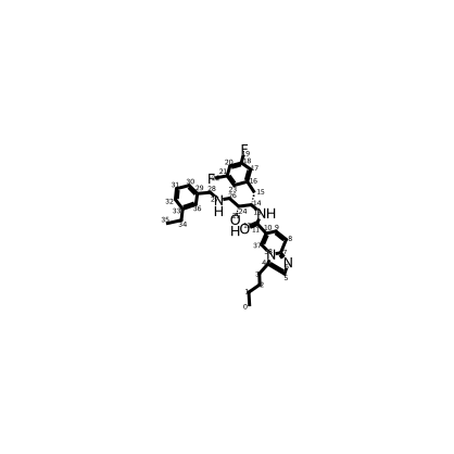 CCCCc1cnc2ccc(C(=O)N[C@@H](Cc3cc(F)cc(F)c3)[C@H](O)CNCc3cccc(CC)c3)cn12